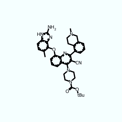 Cc1ccc2[nH]c(N)nc2c1Oc1cccc2c(N3CCN(C(=O)OC(C)(C)C)CC3)c(C#N)c(-c3cccc4c3CCN(C)C4)nc12